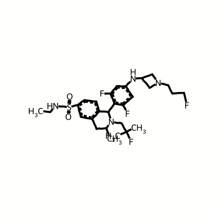 CCNS(=O)(=O)c1ccc2c(c1)CC(C)N(CC(C)(C)F)C2c1c(F)cc(NC2CN(CCCF)C2)cc1F